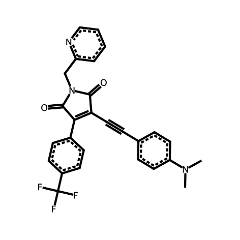 CN(C)c1ccc(C#CC2=C(c3ccc(C(F)(F)F)cc3)C(=O)N(Cc3ccccn3)C2=O)cc1